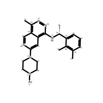 CC(=O)N1CCN(c2cc3c(N[C@H](C)c4cccc(C)c4C)nnc(C)c3cn2)CC1